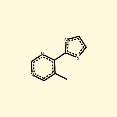 Cc1cncnc1-c1nccs1